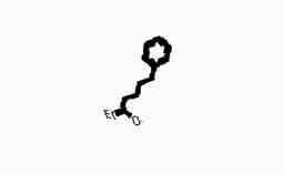 CCC([O])CCCCc1ccccc1